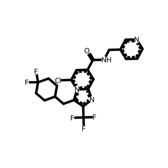 O=C(NCc1cccnc1)c1cc(Cl)n2c(CC3CCC(F)(F)CC3)c(C(F)(F)F)nc2c1